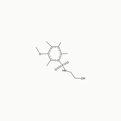 COc1c(C)c(C)c(C)c(S(=O)(=O)NCCO)c1C